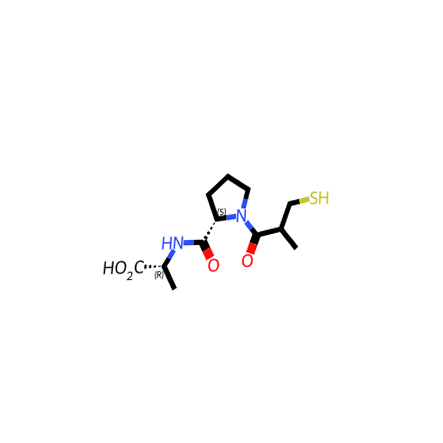 CC(CS)C(=O)N1CCC[C@H]1C(=O)N[C@H](C)C(=O)O